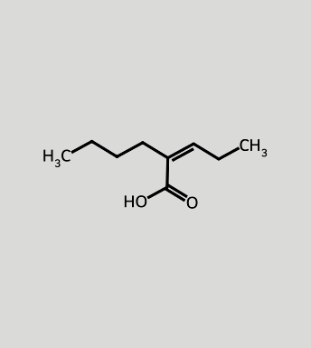 CCC=C(CCCC)C(=O)O